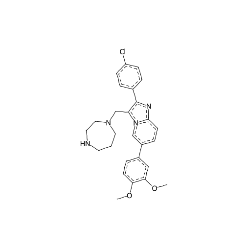 COc1ccc(-c2ccc3nc(-c4ccc(Cl)cc4)c(CN4CCCNCC4)n3c2)cc1OC